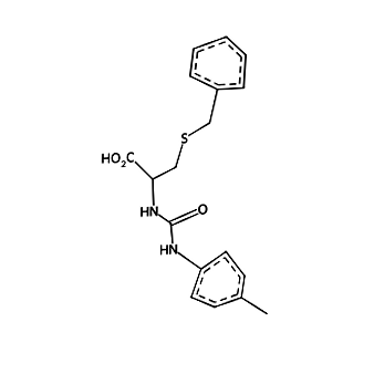 Cc1ccc(NC(=O)NC(CSCc2ccccc2)C(=O)O)cc1